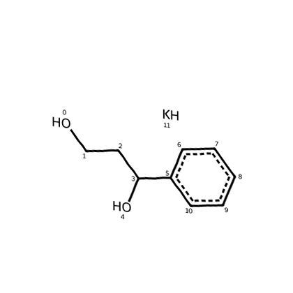 OCCC(O)c1ccccc1.[KH]